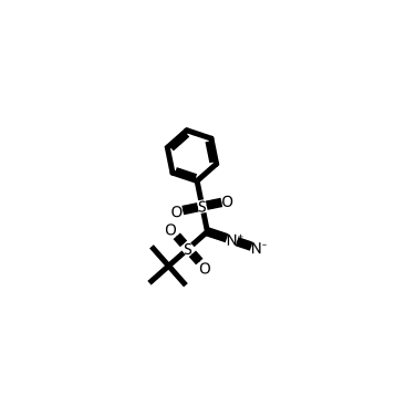 CC(C)(C)S(=O)(=O)C(=[N+]=[N-])S(=O)(=O)c1ccccc1